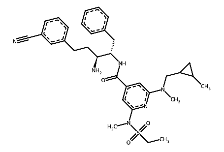 CCS(=O)(=O)N(C)c1cc(C(=O)N[C@@H](Cc2ccccc2)[C@@H](N)CCc2cccc(C#N)c2)cc(N(C)CC2CC2C)n1